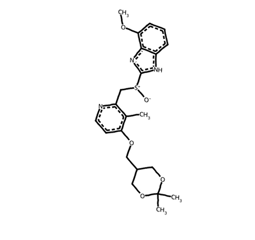 COc1cccc2[nH]c([S+]([O-])Cc3nccc(OCC4COC(C)(C)OC4)c3C)nc12